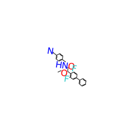 CCOC(C(=O)NCc1ccc(C#N)cc1)c1c(F)cc(-c2ccccc2)cc1F